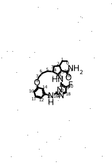 CCC1CC2CCCOc3cccc(c3)Nc3ncc(F)c(n3)NC2C1C(N)=O